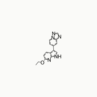 CCOc1ccc2c(-c3ccn4ncnc4c3)c[nH]c2n1